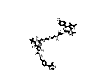 Cc1ncsc1-c1ccc(CNC(=O)[C@@H]2C[C@](O)(C(=O)[C@@H](NC(=O)COCCOCCNC(=O)C[C@@H]3N=C(c4ccc(Cl)cc4)c4c(sc(C)c4C)-n4c(C)nnc43)C(C)(C)C)CN2)cc1